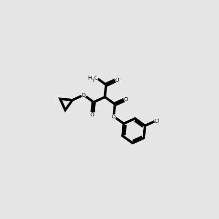 CC(=O)C(C(=O)Oc1cccc(Cl)c1)C(=O)OC1CC1